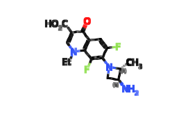 CCn1cc(C(=O)O)c(=O)c2cc(F)c(N3C[C@H](N)[C@H]3C)c(F)c21